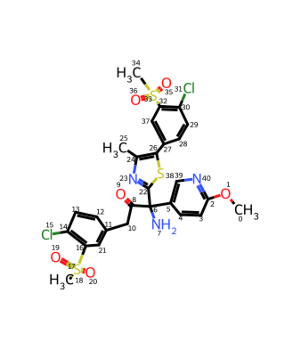 COc1ccc(C(N)(C(=O)Cc2ccc(Cl)c(S(C)(=O)=O)c2)c2nc(C)c(-c3ccc(Cl)c(S(C)(=O)=O)c3)s2)cn1